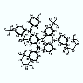 Cc1ccc(N(c2ccc(C(C)(C)C)cc2)c2cc3c(cc2C(C)(C)C)N(c2ccc4c(c2)C(C)(C)CCC4(C)C)c2cccc4c2B3c2ccc(C(C)(C)C)cc2N4c2ccc3c(c2)C(C)(C)CCC3(C)C)cc1